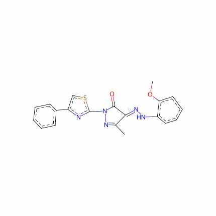 COc1ccccc1N/N=C1/C(=O)N(c2nc(-c3ccccc3)cs2)N=C1C